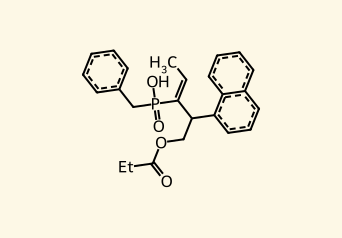 CC=C(C(COC(=O)CC)c1cccc2ccccc12)P(=O)(O)Cc1ccccc1